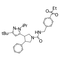 CCS(=O)(=O)c1ccc(CNC(=O)N2CC(c3ccccc3)C(c3cc(C(C)(C)C)nn3C(C)C)C2)cc1